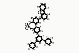 O=S1(=O)Cc2cc(-c3cc(-c4ccccc4)cc(-c4ccccc4)c3)ccc2-c2cc(-c3cccc4c3oc3ccccc34)ccc2C1